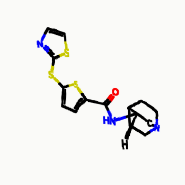 O=C(N[C@H]1CN2CCC1CC2)c1ccc(Sc2nccs2)s1